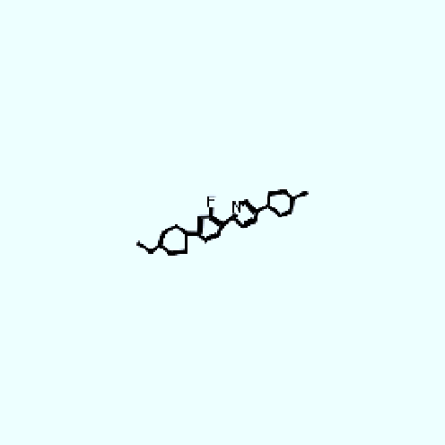 CCC1CCC(c2ccc(-c3ccc(C4CCC(C)CC4)cn3)c(F)c2)CC1